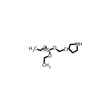 C1CCNC1.CCO[SiH](OCC)OCC